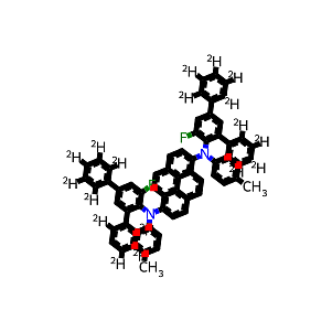 [2H]c1cc(-c2cc(-c3c([2H])c([2H])c([2H])c([2H])c3[2H])cc(F)c2N(c2ccc(C)cc2)c2ccc3ccc4c(N(c5ccc(C)cc5)c5c(F)cc(-c6c([2H])c([2H])c([2H])c([2H])c6[2H])cc5-c5c([2H])cc([2H])c([2H])c5[2H])ccc5ccc2c3c54)c([2H])c([2H])c1[2H]